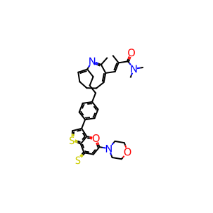 C/C1=N/C(CCCc2ccc(-c3csc4c(=S)cc(N5CCOCC5)oc34)cc2)=C/CCC/C=C1/C=C(\C)C(=O)N(C)C